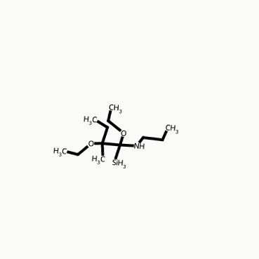 CCCNC([SiH3])(OCC)C(C)(CC)OCC